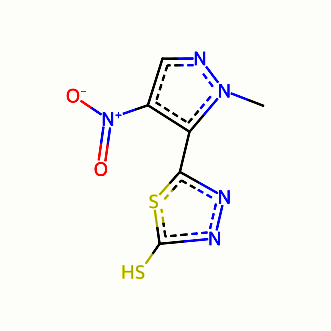 Cn1ncc([N+](=O)[O-])c1-c1nnc(S)s1